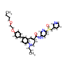 CCCCOCCOc1ccc(-c2ccc3c(c2)C=C(C(=O)Nc2ccc([S+]([O-])Cc4cccnc4)nc2)CCN3CCC)cc1